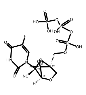 N#C[C@@]1(n2cc(F)c(=O)[nH]c2=O)O[C@@]2(COP(=O)(O)OP(=O)(O)OP(=O)(O)O)CO[C@@H]1[C@@H]2O